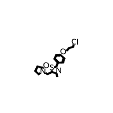 CC1N=C(c2ccc(OCCCCl)cc2)SC1CN1CCCC1=O